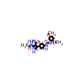 COc1ccc(OC)c(NC(=O)Nc2ccc(-c3c[nH]c(NC(C)=O)c3C(N)=O)cc2)c1